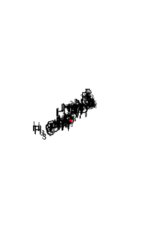 CC1(C)OCC(N[C@H]2[C@@H]3CC4C[C@H]2C[C@@](CNc2nc(NCc5ccccc5OC(F)(F)F)ncc2C#N)(C4)C3)CO1